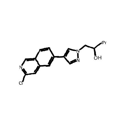 CC(C)C(O)Cn1cc(-c2ccc3cnc(Cl)cc3c2)cn1